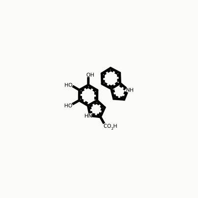 O=C(O)c1cc2cc(O)c(O)c(O)c2[nH]1.c1ccc2[nH]ccc2c1